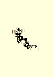 O=c1[nH]cc(-c2cc([C@H]3C[C@@H]3c3ncc4cnn(CC(F)(F)F)c4c3F)c3nccn3n2)c(=O)[nH]1